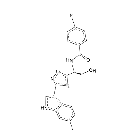 O=C(N[C@@H](CO)c1nc(-c2c[nH]c3cc(Cl)ccc23)no1)c1ccc(F)cc1